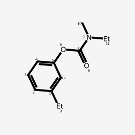 CCc1cccc(OC(=O)N(C)CC)c1